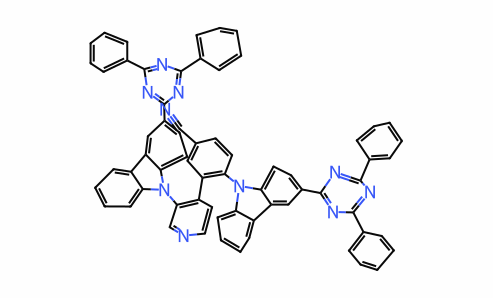 N#Cc1ccc(-n2c3ccccc3c3cc(-c4nc(-c5ccccc5)nc(-c5ccccc5)n4)ccc32)c(-c2ccncc2-n2c3ccccc3c3cc(-c4nc(-c5ccccc5)nc(-c5ccccc5)n4)ccc32)c1